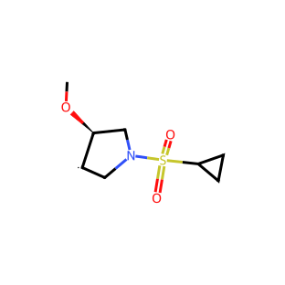 CO[C@@H]1[CH]CN(S(=O)(=O)C2CC2)C1